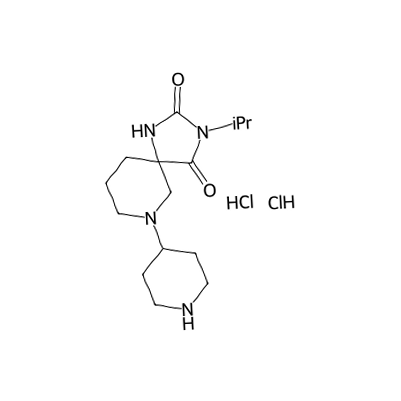 CC(C)N1C(=O)NC2(CCCN(C3CCNCC3)C2)C1=O.Cl.Cl